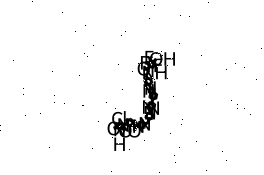 O=C1CCN(c2cc(C(=O)N3CCN(CC4CCN(c5ncc(-c6ccc7cn(C8CCC(CNC(=O)c9cc(F)c(O)c(F)c9F)CC8)nc7c6)cn5)CC4)CC3)ccc2Cl)C(=O)N1